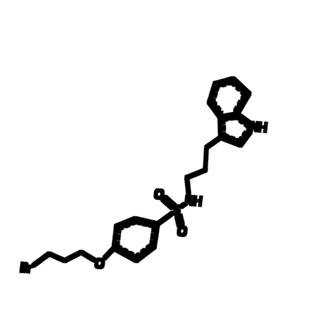 O=S(=O)(NCCCc1c[nH]c2ccccc12)c1ccc(OCCCBr)cc1